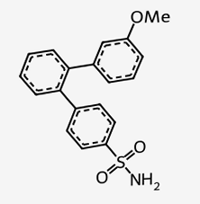 COc1cccc(-c2ccccc2-c2ccc(S(N)(=O)=O)cc2)c1